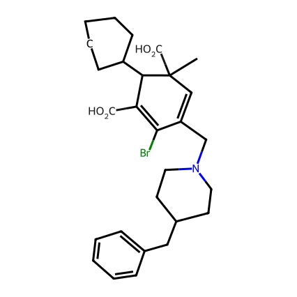 CC1(C(=O)O)C=C(CN2CCC(Cc3ccccc3)CC2)C(Br)=C(C(=O)O)C1C1CCCCC1